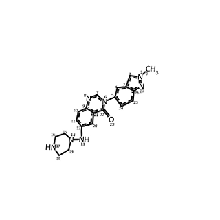 Cn1cc2cc(-n3cnc4ccc(NN5CCNCC5)cc4c3=O)ccc2n1